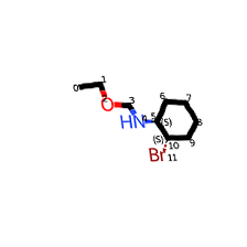 CCOCN[C@H]1CCCC[C@@H]1Br